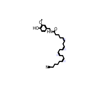 COc1cc(CNC(=O)CCC/C=C\C/C=C\C/C=C\C/C=C\CCCCC#N)ccc1O